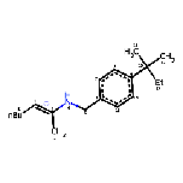 CCCC/C=C(\C)NCc1ccc(C(C)(C)CC)cc1